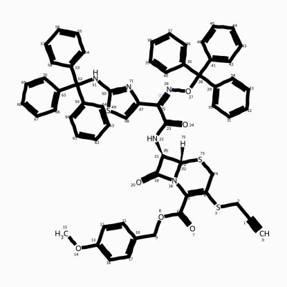 C#CCSC1=C(C(=O)OCc2ccc(OC)cc2)N2C(=O)[C@@H](NC(=O)/C(=N\OC(c3ccccc3)(c3ccccc3)c3ccccc3)c3csc(NC(c4ccccc4)(c4ccccc4)c4ccccc4)n3)[C@@H]2SC1